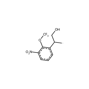 [CH2]C(CO)c1cccc([N+](=O)[O-])c1OC(F)(F)F